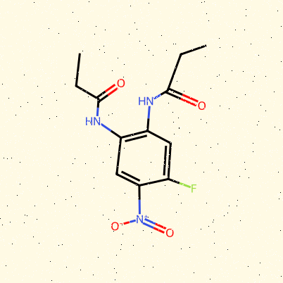 CCC(=O)Nc1cc(F)c([N+](=O)[O-])cc1NC(=O)CC